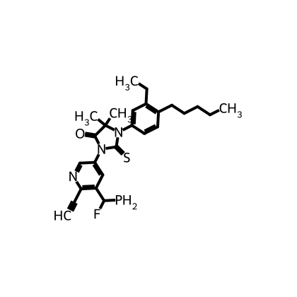 C#Cc1ncc(N2C(=O)C(C)(C)N(c3ccc(CCCCC)c(CC)c3)C2=S)cc1C(F)P